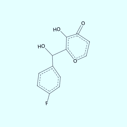 O=c1ccoc(C(O)c2ccc(F)cc2)c1O